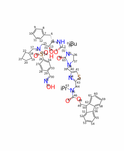 CC[C@H](C)[C@@H](C(=O)N[C@@H](Cc1ccccc1)[C@@H](O)CN(CC1CCCC1)S(=O)(=O)c1ccc(C=NO)cc1)N1CCN(Cc2csc(CN(C(=O)OCC3c4ccccc4-c4ccccc43)C(C)C)n2)C1=O